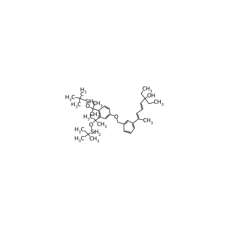 CCC(O)(C=CC=C(C)c1cccc(COc2ccc(C(C)(C)O[SiH2]C(C)(C)C)c(C(C)(C)O[SiH2]C(C)(C)C)c2)c1)CC